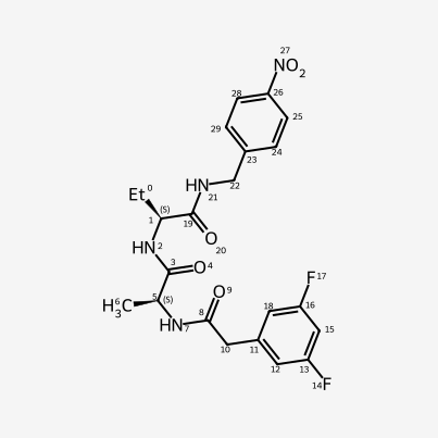 CC[C@H](NC(=O)[C@H](C)NC(=O)Cc1cc(F)cc(F)c1)C(=O)NCc1ccc([N+](=O)[O-])cc1